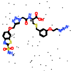 [N-]=[N+]=NCCOc1cccc(CSC[C@@H](NC(=O)Cn2cc(COc3ccc4nc(S(N)(=O)=O)sc4c3)nn2)C(=O)O)c1